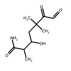 CC(C(N)=O)C(O)CC(C)(C)C(=O)C=O